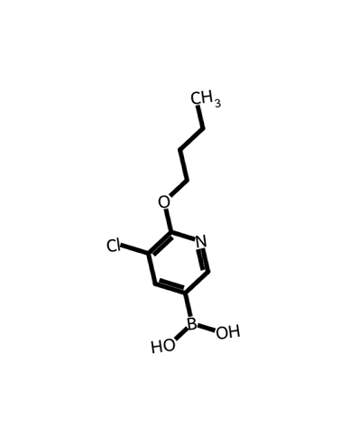 CCCCOc1ncc(B(O)O)cc1Cl